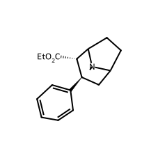 CCOC(=O)[C@@H]1C2CCC(C[C@H]1c1ccccc1)N2C